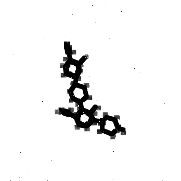 Cc1cc(C2CCN(c3c(C#N)ccc(N4CCN(C)CC4)c3C)CC2)ccc1C#N